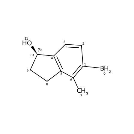 Bc1ccc2c(c1C)CC[C@H]2O